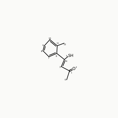 CC(=O)C=C(S)c1ccccc1C